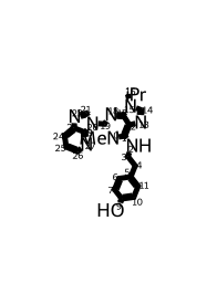 CN/C(NCCc1ccc(O)cc1)=C1/N=CN(C(C)C)/C1=N/Cn1cnc2cccnc21